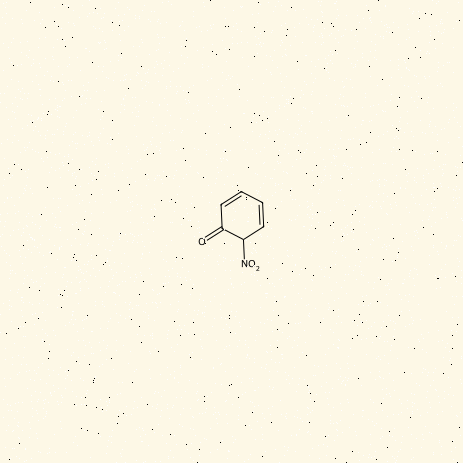 O=C1C=CC=CC1[N+](=O)[O-]